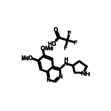 COc1cc2ncnc(NC3CCNC3)c2cc1OC.O=C(O)C(F)(F)F